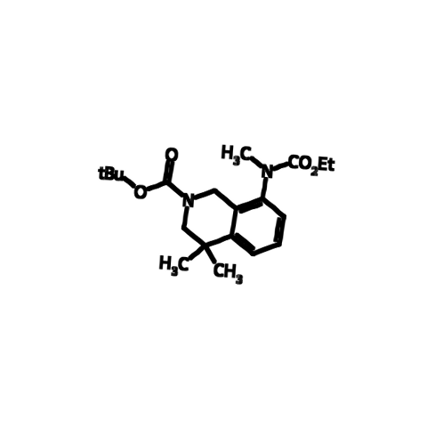 CCOC(=O)N(C)c1cccc2c1CN(C(=O)OC(C)(C)C)CC2(C)C